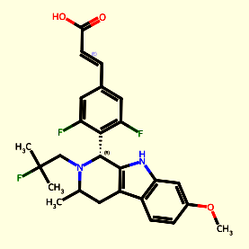 COc1ccc2c3c([nH]c2c1)[C@@H](c1c(F)cc(/C=C/C(=O)O)cc1F)N(CC(C)(C)F)C(C)C3